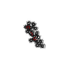 c1ccc(-c2ccccc2N(c2ccccc2)c2cc(Oc3cccc(N(c4cc(N(c5ccccc5)c5ccccc5)cc(N(c5ccccc5)c5ccccc5)c4)c4c(-c5ccccc5)cccc4-c4ccccc4)c3)cc(N(c3ccccc3)c3ccc(-c4c5ccccc5c(-c5ccccc5)c5ccccc45)cc3)c2)cc1